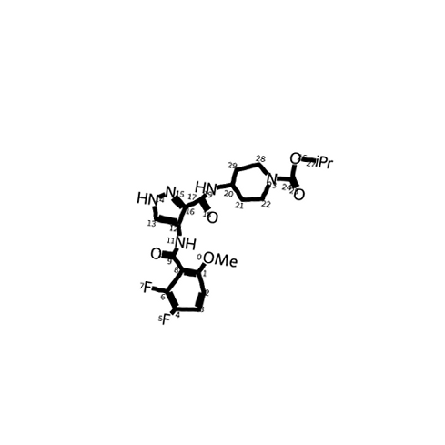 COc1ccc(F)c(F)c1C(=O)Nc1c[nH]nc1C(=O)NC1CCN(C(=O)OC(C)C)CC1